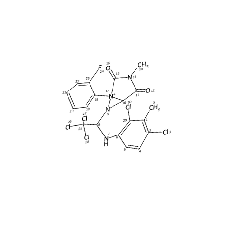 Cc1c(Cl)ccc(NC(N2C3C(=O)N(C)C(=O)[N+]32c2ccccc2F)C(Cl)(Cl)Cl)c1Cl